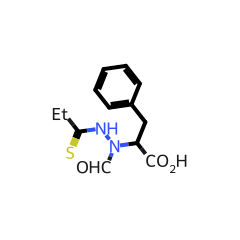 CCC(=S)NN(C=O)C(Cc1ccccc1)C(=O)O